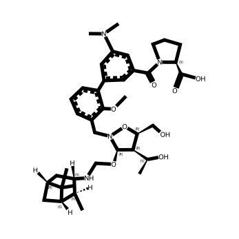 COc1c(CN2O[C@@H](CO)[C@@H]([C@H](C)O)[C@H]2OCN[C@H]2C[C@H]3C[C@@H]([C@@H]2C)C3(C)C)cccc1-c1cc(C(=O)N2CCC[C@H]2C(=O)O)cc(N(C)C)c1